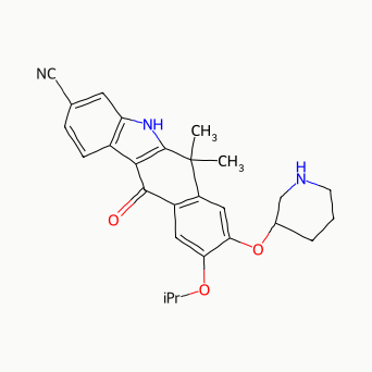 CC(C)Oc1cc2c(cc1OC1CCCNC1)C(C)(C)c1[nH]c3cc(C#N)ccc3c1C2=O